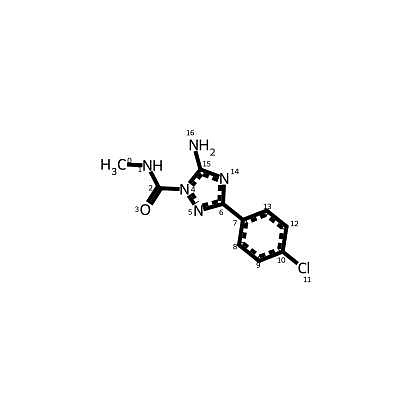 CNC(=O)n1nc(-c2ccc(Cl)cc2)nc1N